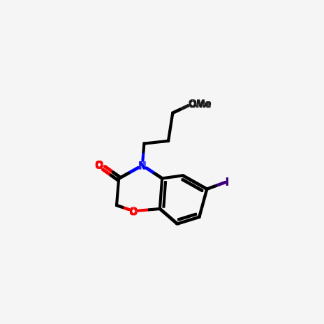 COCCCN1C(=O)COc2ccc(I)cc21